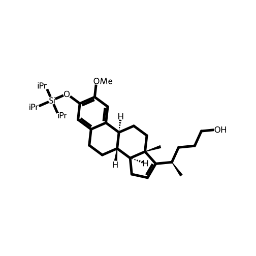 COc1cc2c(cc1O[Si](C(C)C)(C(C)C)C(C)C)CC[C@@H]1[C@@H]2CC[C@]2(C)C([C@H](C)CCCO)=CC[C@@H]12